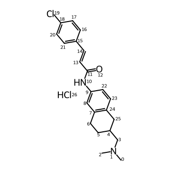 CN(C)CC1CCc2cc(NC(=O)/C=C/c3ccc(Cl)cc3)ccc2C1.Cl